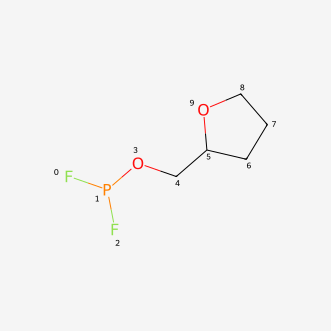 FP(F)OCC1CCCO1